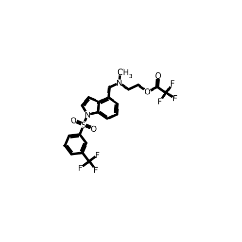 CN(CCOC(=O)C(F)(F)F)Cc1cccc2c1ccn2S(=O)(=O)c1cccc(C(F)(F)F)c1